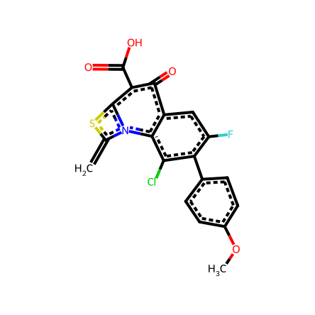 C=c1sc2c(C(=O)O)c(=O)c3cc(F)c(-c4ccc(OC)cc4)c(Cl)c3n12